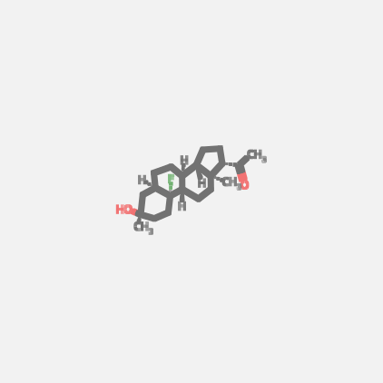 CC(=O)[C@H]1CC[C@H]2[C@@H]3CC[C@@H]4C[C@](C)(O)CC[C@]4(F)[C@H]3CC[C@]12C